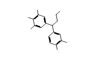 Nc1ccc(C(CCF)c2cc(F)c(N)c(F)c2)cc1F